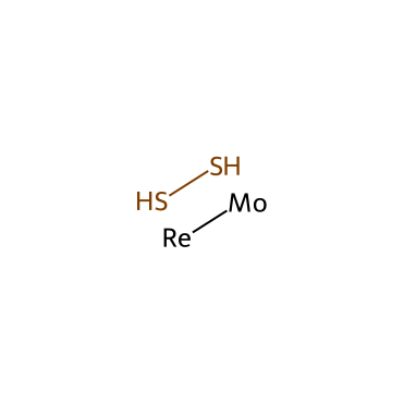 SS.[Mo][Re]